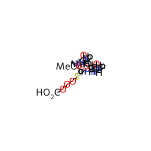 C=C/C(OC)=C(\C[C@H]1CC(=O)N2[C@H](C=N1)CC1CCCC[C@@H]12)OCC1=C[C@@H](CSCCOCCOCCOCCC(=O)O)C[C@@H](COC2=C(OC)C[C@@H]3C(=O)N4[C@H](CN[C@@H]3C2)CC2=CCCC[C@H]24)C1